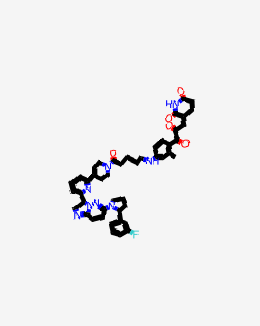 Cc1cc(NCCCCC(=O)N2CC=C(c3cccc(C4CN=C5C=CC(N6CCCC6c6cccc(F)c6)=NN54)n3)CC2)ccc1C(=O)C(=O)CC1CCC(=O)NC1=O